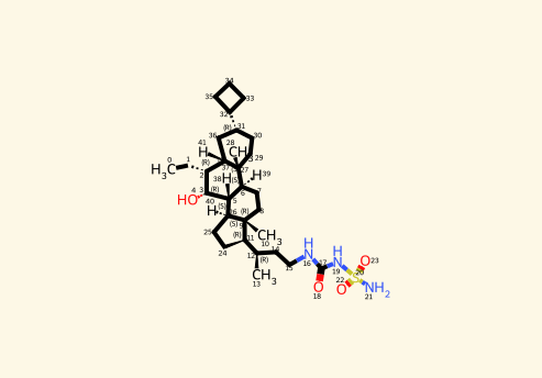 CC[C@H]1[C@@H](O)[C@@H]2[C@H](CC[C@]3(C)[C@@H]([C@H](C)CCNC(=O)NS(N)(=O)=O)CC[C@@H]23)[C@@]2(C)CC[C@@H](C3CCC3)C[C@@H]12